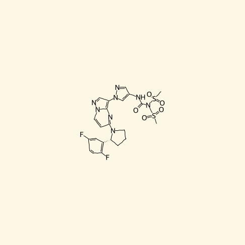 CS(=O)(=O)N(C(=O)Nc1cnn(-c2cnn3ccc(N4CCC[C@@H]4c4cc(F)ccc4F)nc23)c1)S(C)(=O)=O